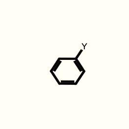 [Y][c]1ccccc1